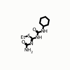 CCSC(=NC(N)=O)NC(=O)NC1CCCCC1